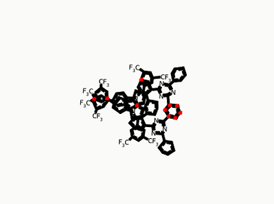 FC(F)(F)c1cc(-c2ccc3c(c2)c2cc(-c4cc(C(F)(F)F)cc(C(F)(F)F)c4)ccc2n3-c2cccc(-c3nc(-c4ccccc4)nc(-c4ccccc4)n3)c2-c2cccc(-c3c(-c4nc(-c5ccccc5)nc(-c5ccccc5)n4)cccc3-n3c4ccc(-c5cc(C(F)(F)F)cc(C(F)(F)F)c5)cc4c4cc(-c5cc(C(F)(F)F)cc(C(F)(F)F)c5)ccc43)c2)cc(C(F)(F)F)c1